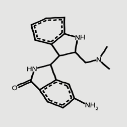 CN(C)CC1Nc2ccccc2C1C1NC(=O)c2ccc(N)cc21